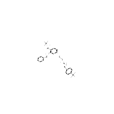 CC(C)(C)OC(=O)c1ccc(OCCO/N=C/c2ccc(C(C)(C)C)cc2)cc1OC(=O)c1ccccc1